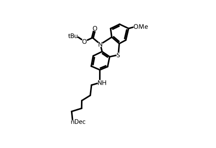 CCCCCCCCCCCCCCCNc1ccc2c(c1)Sc1cc(OC)ccc1N2C(=O)OC(C)(C)C